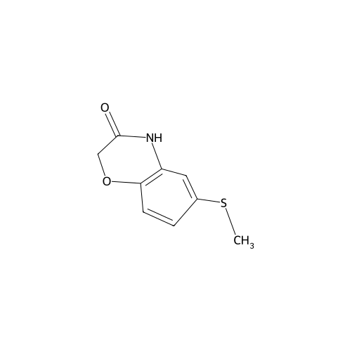 CSc1ccc2c(c1)NC(=O)CO2